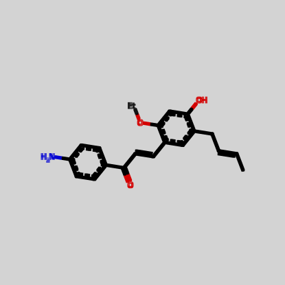 CC=CCc1cc(C=CC(=O)c2ccc(N)cc2)c(OCC)cc1O